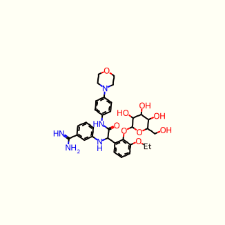 CCOc1cccc(C(Nc2cccc(C(=N)N)c2)C(=O)Nc2ccc(N3CCOCC3)cc2)c1OC1OC(CO)C(O)C(O)C1O